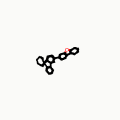 c1ccc2c(c1)-c1cc(-c3ccc4c(c3)oc3ccccc34)ccc1C21CCCCC1